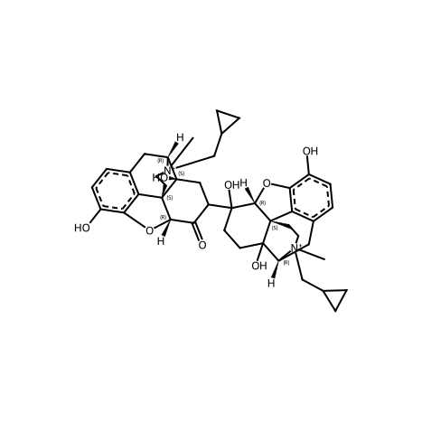 C[N+]1(CC2CC2)CC[C@]23c4c5ccc(O)c4O[C@H]2C(O)(C2C[C@@]4(O)[C@H]6Cc7ccc(O)c8c7[C@@]4(CC[N+]6(C)CC4CC4)[C@@H](O8)C2=O)CCC3(O)[C@H]1C5